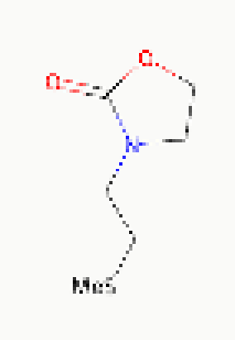 CSCCN1CCOC1=O